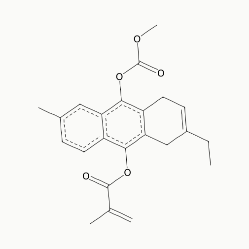 C=C(C)C(=O)Oc1c2c(c(OC(=O)OC)c3cc(C)ccc13)CC=C(CC)C2